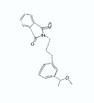 COC(C)c1cccc(CCCN2C(=O)c3ccccc3C2=O)c1